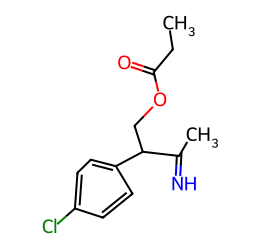 CCC(=O)OCC(C(C)=N)c1ccc(Cl)cc1